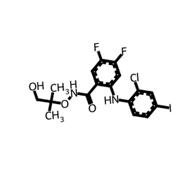 CC(C)(CO)ONC(=O)c1cc(F)c(F)cc1Nc1ccc(I)cc1Cl